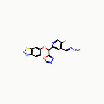 CO/N=C/c1cc(C(Oc2ccc3nnsc3c2)c2nnco2)ncc1F